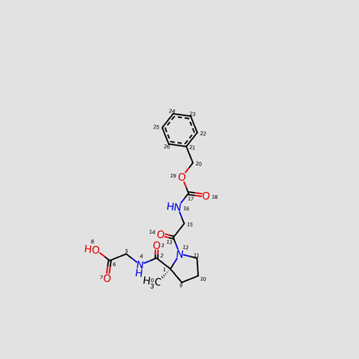 C[C@@]1(C(=O)NCC(=O)O)CCCN1C(=O)CNC(=O)OCc1ccccc1